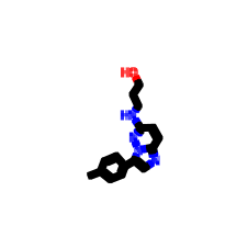 Cc1ccc(-c2cnc3ccc(NCCCO)nn23)cc1